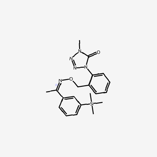 C/C(=N/OCc1ccccc1-n1nnn(C)c1=O)c1cccc([Si](C)(C)C)c1